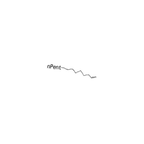 C=CCCCCCCCCCCCC